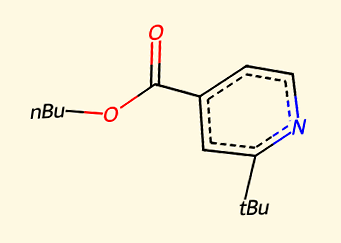 CCCCOC(=O)c1ccnc(C(C)(C)C)c1